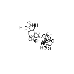 CO[C@H]1C(O)[C@@H](COP(=O)(O)OP(=O)(O)OP(=O)(O)O)O[C@H]1c1c[nH]c(=O)c(C)c1F